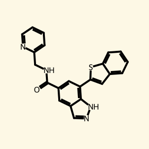 O=C(NCc1ccccn1)c1cc(-c2cc3ccccc3s2)c2[nH]ncc2c1